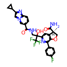 C[C@]1(C(N)=O)COc2c1cc(C(O)(CNC(=O)c1ccc3nc(C4CC4)cn3c1)C(F)(F)F)nc2-c1ccc(F)cc1